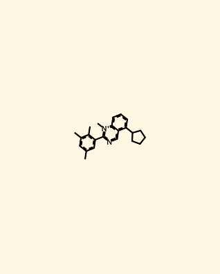 Cc1cc(C)c(C)c(-c2ncc3c(C4CCCC4)cccc3[n+]2C)c1